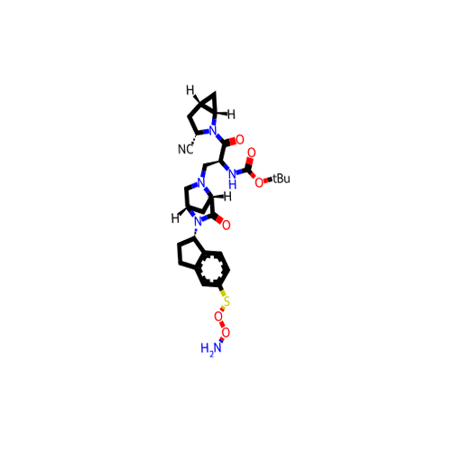 CC(C)(C)OC(=O)N[C@@H](CN1C[C@@H]2C[C@H]1C(=O)N2[C@H]1CCc2cc(SOON)ccc21)C(=O)N1[C@H](C#N)C[C@@H]2C[C@@H]21